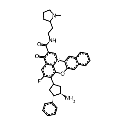 CN1CCCC1CCNC(=O)c1cn2c3c(c(C4C[C@@H](N)[C@H](c5ccccc5)C4)c(F)cc3c1=O)Oc1cc3ccccc3cc1-2